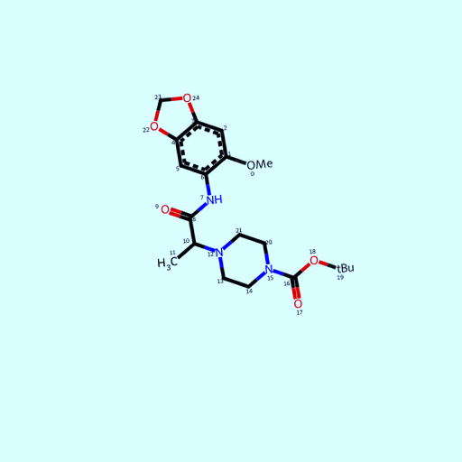 COc1cc2c(cc1NC(=O)C(C)N1CCN(C(=O)OC(C)(C)C)CC1)OCO2